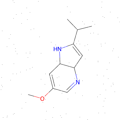 COC1=CC2NC(C(C)C)=CC2N=C1